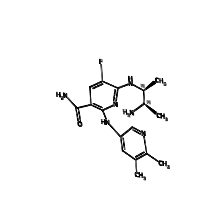 Cc1cc(Nc2nc(N[C@@H](C)[C@@H](C)N)c(F)cc2C(N)=O)cnc1C